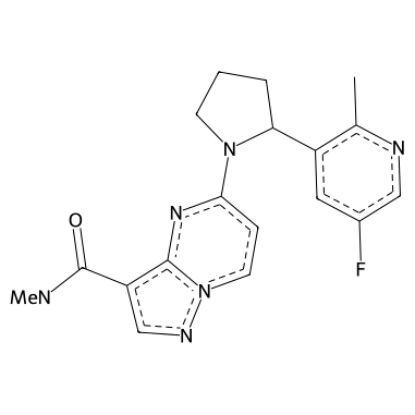 CNC(=O)c1cnn2ccc(N3CCCC3c3cc(F)cnc3C)nc12